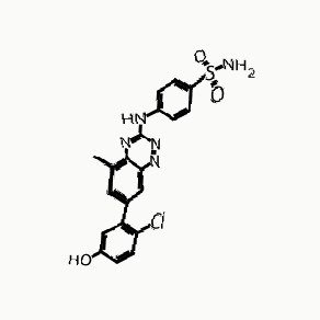 Cc1cc(-c2cc(O)ccc2Cl)cc2nnc(Nc3ccc(S(N)(=O)=O)cc3)nc12